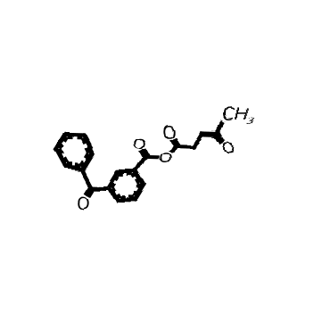 CC(=O)CCC(=O)OC(=O)c1cccc(C(=O)c2ccccc2)c1